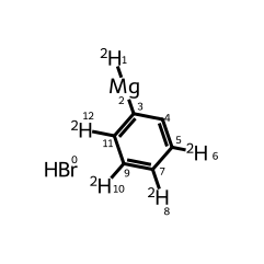 Br.[2H][Mg][c]1cc([2H])c([2H])c([2H])c1[2H]